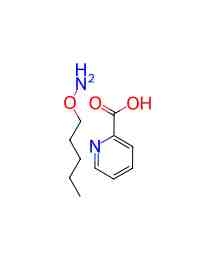 CCCCCON.O=C(O)c1ccccn1